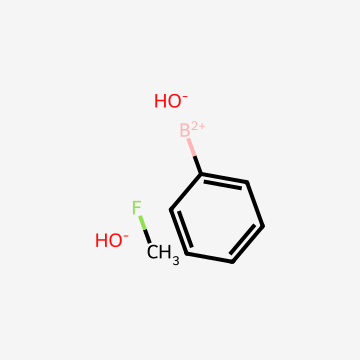 CF.[B+2]c1ccccc1.[OH-].[OH-]